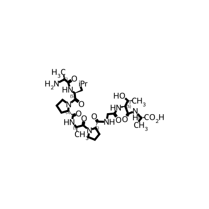 CC(C)C[C@H](NC(=O)[C@H](C)N)C(=O)N1CCC[C@H]1C(=O)N[C@@H](C)C(=O)N1CCC[C@H]1C(=O)NCC(=O)N[C@H](C(=O)N[C@@H](C)C(=O)O)[C@@H](C)O